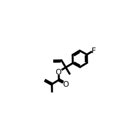 C=CC(C)(OC(=O)C(=C)C)c1ccc(F)cc1